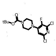 CC(C)(C)OC(=O)N1CCN(c2cc(Cl)nc(Cl)c2F)CC1